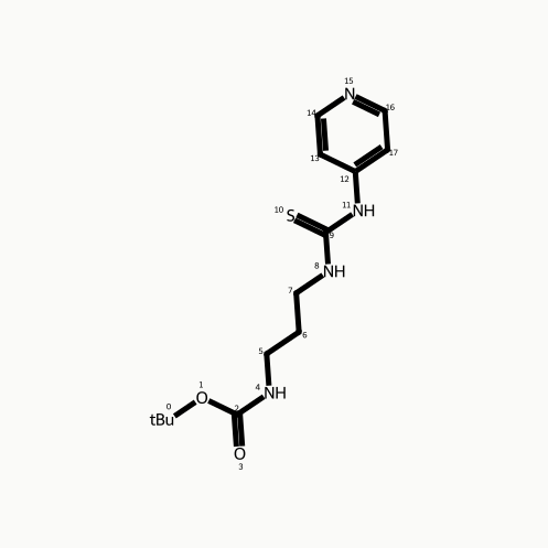 CC(C)(C)OC(=O)NCCCNC(=S)Nc1ccncc1